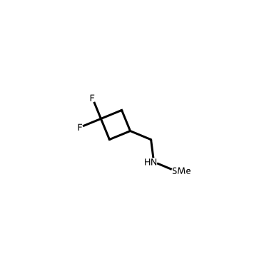 CSNCC1CC(F)(F)C1